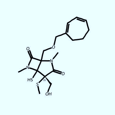 CS[C@@]1(CO)C(=O)N(C)C2(COCC3=CC=CCCC3)C(=O)N(C)C21S